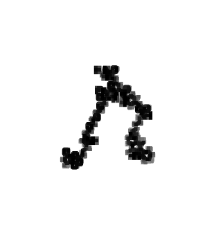 Cc1c2cc[n+](CCCCCNC(=O)OCc3ccc(NC(=O)C(CCCNC(N)=O)NC(=O)C(NC(=O)COCCOCCOCCn4cc(CCCC(=O)ON5C(=O)CCC5=O)[nH]4)C(C)C)cc3)cc2c(C)c2c1[nH]c1ccccc12